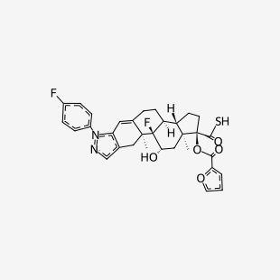 C[C@]12Cc3cnn(-c4ccc(F)cc4)c3C=C1CC[C@H]1[C@@H]3CC[C@](OC(=O)c4ccco4)(C(=O)S)[C@@]3(C)C[C@H](O)[C@@]12F